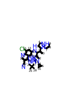 C=C(C1=CCNN1/C=C\C)[C@H](Nc1cc(Cl)c2ncc(C#N)c(NCC(C)(C)C)c2c1)C1=CN(C2CC2)NN1